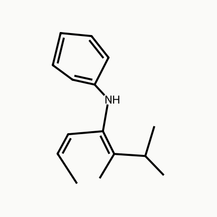 C/C=C\C(Nc1ccccc1)=C(/C)C(C)C